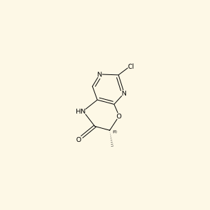 C[C@H]1Oc2nc(Cl)ncc2NC1=O